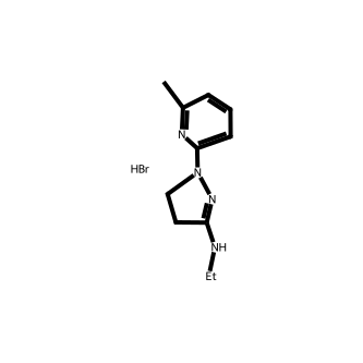 Br.CCNC1=NN(c2cccc(C)n2)CC1